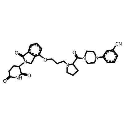 N#Cc1cccc(N2CCN(C(=O)C3CCCN3CCCOc3cccc4c3CN(C3CCC(=O)NC3=O)C4=O)CC2)c1